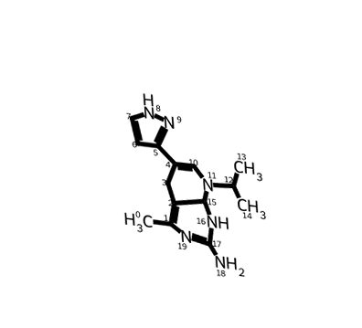 CC1=C2CC(c3cc[nH]n3)=CN(C(C)C)C2NC(N)=N1